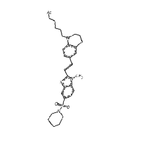 CC(=O)CCCCCN1CCCc2cc(/C=C/c3sc4cc(S(=O)(=O)N5CCCCC5)ccc4[n+]3C)ccc21